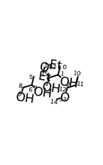 CC(O)CO.CC(O)CO.CCCOC.CCOCC